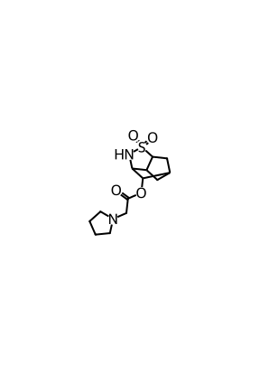 O=C(CN1CCCC1)OC1C2CC3C1NS(=O)(=O)C3C2